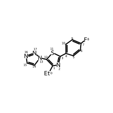 CCc1nc(-c2ccc(F)cc2)sc1-n1ccnn1